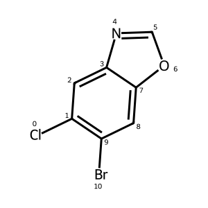 Clc1cc2ncoc2cc1Br